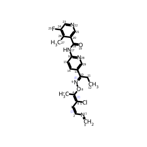 C=N/C=C\C(Cl)=C(/C)O/N=C(\CC)c1ccc(NC(=O)c2cncc(F)c2C)nc1